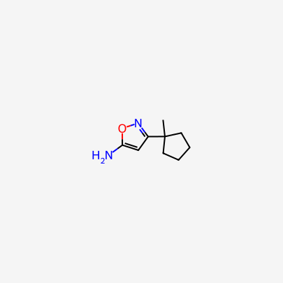 CC1(c2cc(N)on2)CCCC1